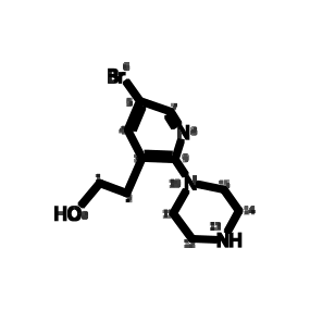 OCCc1cc(Br)cnc1N1CCNCC1